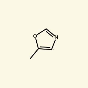 Cc1[c]nco1